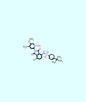 COc1c[n+](O)c(N2C(=O)c3c(Cl)ccc(NS(=O)(=O)C4=CC=C(C(C)(C)C)CC4)c3C2=O)cc1C